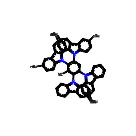 CCCCc1ccc2c(c1)c1ccccc1n2-c1cc(-n2c3ccc(CCCC)cc3c3cc(CCCC)ccc32)c(-n2c3ccc(CCCC)cc3c3cc(CCCC)ccc32)c(C#N)c1-n1c2ccccc2c2cc(CCCC)ccc21